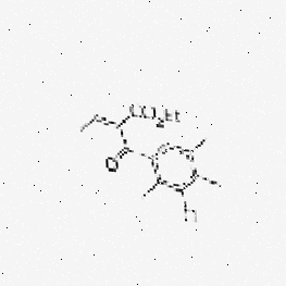 C/C=C(/C(=O)OCC)C(=O)c1cc(C)c(C)c(Cl)c1C